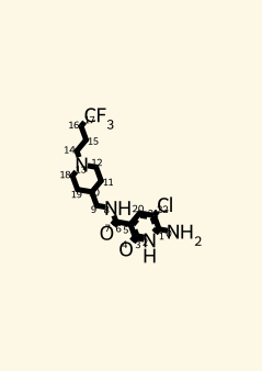 Nc1[nH]c(=O)c(C(=O)NCC2CCN(CCCC(F)(F)F)CC2)cc1Cl